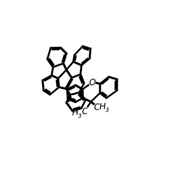 CC1(C)c2ccccc2Oc2cc(-c3cccc4c3C3(c5ccccc5-c5cc6ccccc6cc53)c3ccccc3-4)ccc21